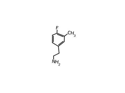 Cc1cc(CCN)ccc1F